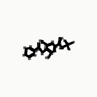 CC(C)(C)OC(=O)c1cc(F)c(CNc2ccccc2)c(F)c1